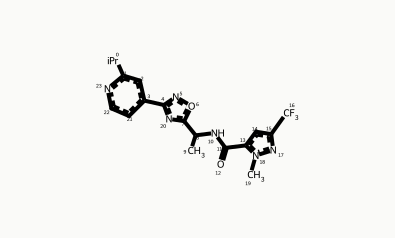 CC(C)c1cc(-c2noc(C(C)NC(=O)c3cc(C(F)(F)F)nn3C)n2)ccn1